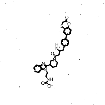 CC(=O)NCCn1c(C2CCCN(C(=O)CC(N)Cc3ccc(-c4ccc5c(c4)SCC(=O)O5)cc3)C2)nc2ccccc21